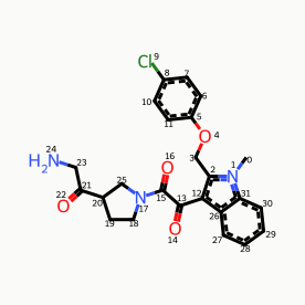 Cn1c(COc2ccc(Cl)cc2)c(C(=O)C(=O)N2CCC(C(=O)CN)C2)c2ccccc21